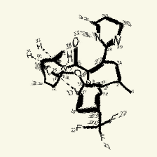 Cc1cnc(C(=O)N2[C@H](C)[C@@H]3CC[C@H]2[C@H](Oc2ccc(C(F)(F)F)cn2)C3)c(-c2ncccn2)c1